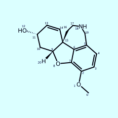 COc1ccc2c3c1O[C@@H]1C[C@H](O)C=C[C@]31CCNC2